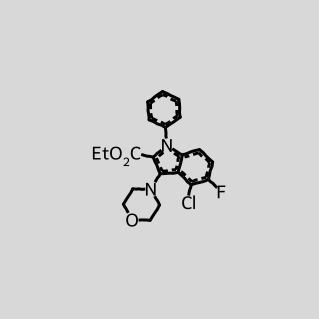 CCOC(=O)c1c(N2CCOCC2)c2c(Cl)c(F)ccc2n1-c1ccccc1